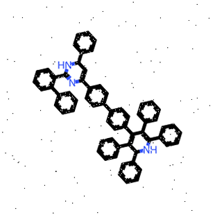 C1=C(c2ccc(-c3ccc(C4=C(c5ccccc5)C(c5ccccc5)NC(c5ccccc5)=C4c4ccccc4)cc3)cc2)N=C(c2ccccc2-c2ccccc2)NC1c1ccccc1